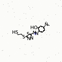 CN(C)c1ccc(/N=N/c2nnc(SCCS)s2)c(O)c1